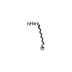 CCCCCCC=CCCCCCCC=C=O